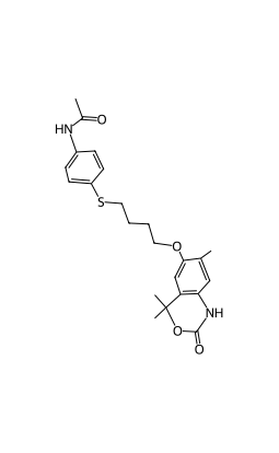 CC(=O)Nc1ccc(SCCCCOc2cc3c(cc2C)NC(=O)OC3(C)C)cc1